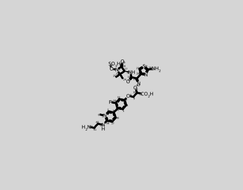 C[n+]1cc(-c2ccc(OCC(O/N=C(\C(=O)N[C@@H]3C(=O)N(OS(=O)(=O)O)C3(C)C)c3csc(N)n3)C(=O)O)cc2F)ccc1NCCN